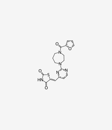 O=C1NC(=O)C(=Cc2ccnc(N3CCCN(C(=O)c4ccco4)CC3)n2)S1